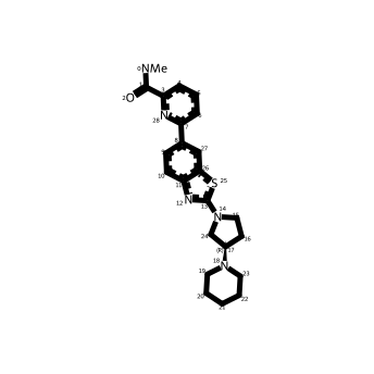 CNC(=O)c1cccc(-c2ccc3nc(N4CC[C@@H](N5CCCCC5)C4)sc3c2)n1